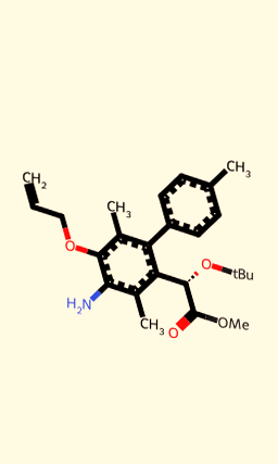 C=CCOc1c(C)c(-c2ccc(C)cc2)c([C@H](OC(C)(C)C)C(=O)OC)c(C)c1N